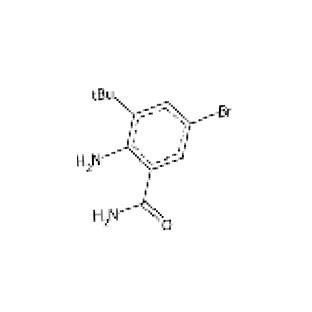 CC(C)(C)c1cc(Br)cc(C(N)=O)c1N